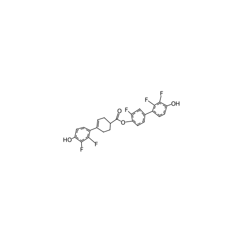 O=C(Oc1ccc(-c2ccc(O)c(F)c2F)cc1F)C1CC=C(c2ccc(O)c(F)c2F)CC1